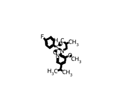 COc1cc(C(C)C)cnc1N(CC(C)C)S(=O)(=O)c1ccc(F)cc1